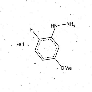 COc1ccc(F)c(NN)c1.Cl